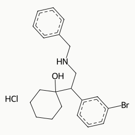 Cl.OC1(C(CNCc2ccccc2)c2cccc(Br)c2)CCCCC1